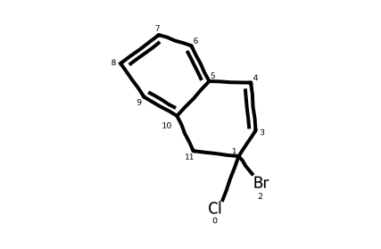 ClC1(Br)C=Cc2ccccc2C1